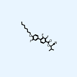 CCCCCCCOc1ccc(-c2ccc(C(=O)OC(C#N)C(C)C)c(F)c2F)cc1F